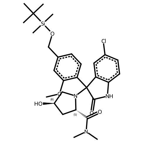 COc1cc(CO[Si](C)(C)C(C)(C)C)ccc1C1(N2C[C@H](O)C[C@H]2C(=O)N(C)C)C(=O)Nc2ccc(Cl)cc21